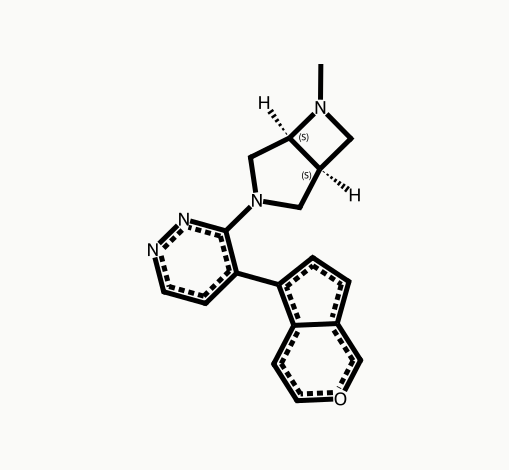 CN1C[C@H]2CN(c3nnccc3-c3ccc4coccc3-4)C[C@H]21